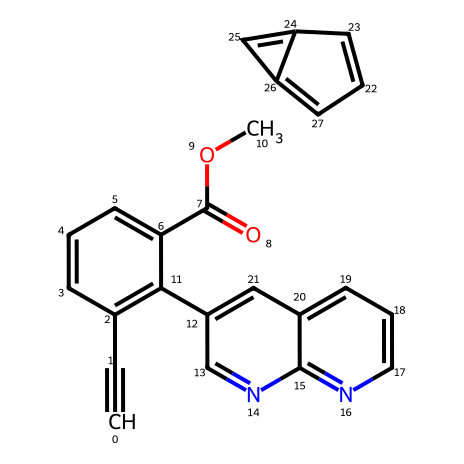 C#Cc1cccc(C(=O)OC)c1-c1cnc2ncccc2c1.c1cc2cc-2c1